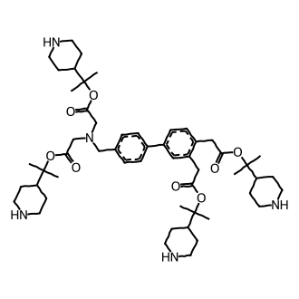 CC(C)(OC(=O)Cc1ccc(-c2ccc(CN(CC(=O)OC(C)(C)C3CCNCC3)CC(=O)OC(C)(C)C3CCNCC3)cc2)cc1CC(=O)OC(C)(C)C1CCNCC1)C1CCNCC1